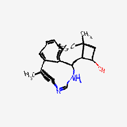 C/C1=C\N=C/NC(C2C(O)CC2(C)C)c2ccccc21